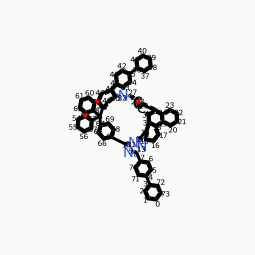 c1ccc(-c2ccc(-c3nc4nc(n3)-c3cccc5c6ccccc6c6cc(ccc6c35)-n3c5cc(-c6ccccc6)ccc5c5ccc(cc53)C(c3ccccc3)(c3ccccc3)c3ccc-4cc3)cc2)cc1